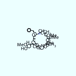 COC1CC(C=C(C)C2OC(=O)C3CCCCN3C(=O)C(=O)C3(O)OC(C(OC)CC(C)C/C(C)=C/C(CC=Cc4ccccc4)C(=O)CCC2C)C(OC)CC3C)CCC1O